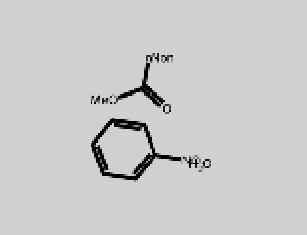 CCCCCCCCCC(=O)OC.O.O=[N+]([O-])c1ccccc1